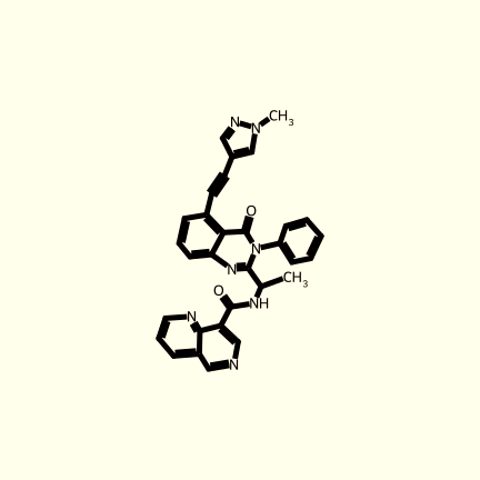 CC(NC(=O)c1cncc2cccnc12)c1nc2cccc(C#Cc3cnn(C)c3)c2c(=O)n1-c1ccccc1